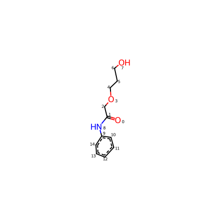 O=C(COCCCO)Nc1ccccc1